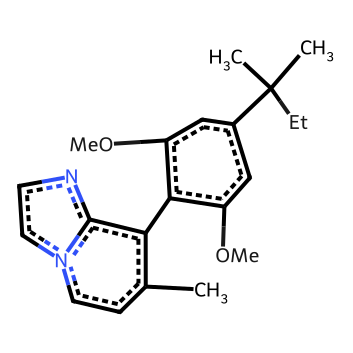 CCC(C)(C)c1cc(OC)c(-c2c(C)ccn3ccnc23)c(OC)c1